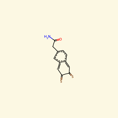 NC(=O)Cc1ccc2c(c1)=[C]C(=S)C(=S)C=2